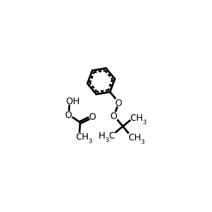 CC(=O)OO.CC(C)(C)OOc1ccccc1